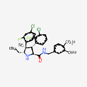 COc1cc(CNC(=O)[C@H]2N[C@H](CC(C)(C)C)[C@@](C#N)(c3ccc(Cl)cc3F)[C@@H]2c2cccc(Cl)c2F)ccc1C(=O)O